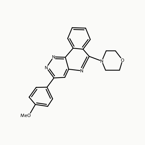 COc1ccc(-c2cc3nc(N4CCOCC4)c4ccccc4c3nn2)cc1